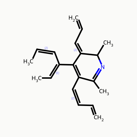 C=C/C=C\C1=C(C(/C=C\C)=C/C)/C(=C/C=C)C(C)N=C1C